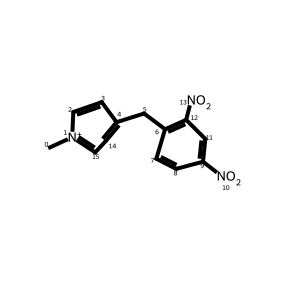 C[n+]1ccc(Cc2ccc([N+](=O)[O-])cc2[N+](=O)[O-])cc1